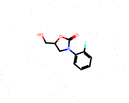 O=C1OC(CO)CN1c1ccccc1F